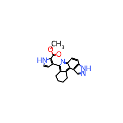 COC(=O)c1[nH]ccc1-c1nc2ccc3[nH]ncc3c2c2c1CCCC2